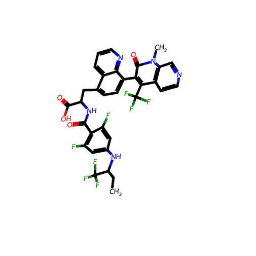 CCC(Nc1cc(F)c(C(=O)NC(Cc2ccc(-c3c(C(F)(F)F)c4ccncc4n(C)c3=O)c3ncccc23)C(=O)O)c(F)c1)C(F)(F)F